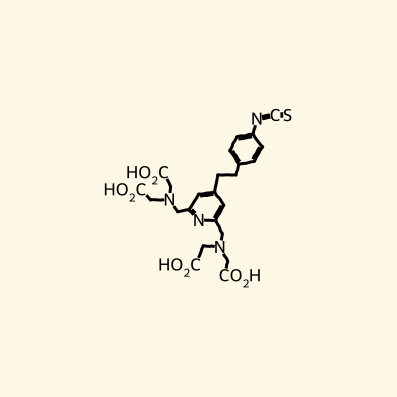 O=C(O)CN(CC(=O)O)Cc1cc(CCc2ccc(N=C=S)cc2)cc(CN(CC(=O)O)CC(=O)O)n1